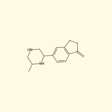 C=C1CCc2cc(C3CNCC(C)N3)ccc21